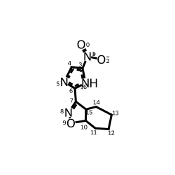 O=[N+]([O-])c1cnc(C2=NOC3CCCCC23)[nH]1